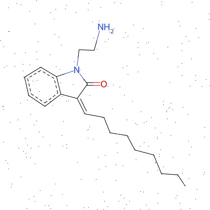 CCCCCCCCC=C1C(=O)N(CCN)c2ccccc21